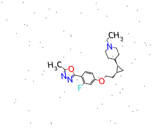 CCN1CCC([C@H]2C[C@H]2CCOc2ccc(-c3nnc(C)o3)c(F)c2)CC1